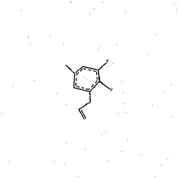 C=CCc1cc(C)cc(F)c1F